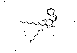 CCCCCCSC(SCCCCCC)C(=O)Nc1c(SC)ccc2ncccc12